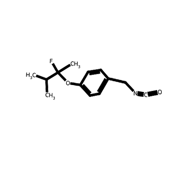 CC(C)C(C)(F)Oc1ccc(CN=C=O)cc1